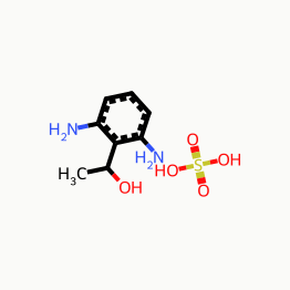 CC(O)c1c(N)cccc1N.O=S(=O)(O)O